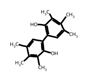 Cc1cc(-c2cc(C)c(C)c(C)c2O)c(O)c(C)c1C